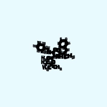 C[C@@H](Cc1ccccc1)C(=O)N[C@H](C(=O)NCc1ccccc1)[C@@H](C)OC(C)(C)C